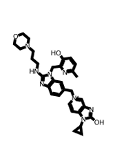 Cc1ccc(O)c(Cn2c(NCCCN3CCOCC3)nc3ccc(C[n+]4ccc5c(c4)nc(O)n5C4CC4)cc32)n1